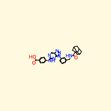 O=C(O)c1ccc(Nc2ncc3nnn(-c4cccc(CNC(=O)C56CC7CC(CC(C7)C5)C6)c4)c3n2)cc1